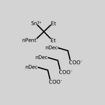 CCCCCCCCCCCC(=O)[O-].CCCCCCCCCCCC(=O)[O-].CCCCCCCCCCCC(=O)[O-].CCCCC[C]([Sn+3])(CC)CC